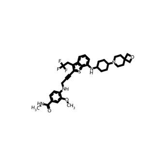 CNC(=O)c1ccc(NCC#Cc2sc3c(NC4CCC(N5CCC6(CC5)COC6)CC4)cccc3c2CC(F)(F)F)c(OC)c1